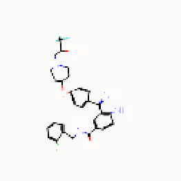 N=C(c1ccc(OC2CCN(CC(O)C(F)(F)F)CC2)cc1)c1cc(C(=O)NCc2ccccc2Cl)ccc1N